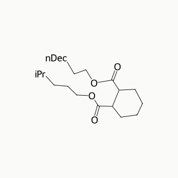 CCCCCCCCCCCCOC(=O)C1CCCCC1C(=O)OCCCC(C)C